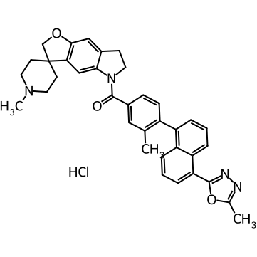 Cc1nnc(-c2cccc3c(-c4ccc(C(=O)N5CCc6cc7c(cc65)C5(CCN(C)CC5)CO7)cc4C)cccc23)o1.Cl